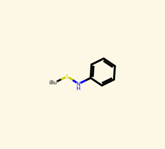 CCC(C)SNc1ccccc1